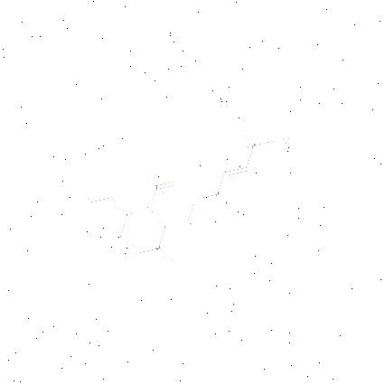 C=C(/C=C\C=C/C)[C@@H](COC(=O)/C=C/C(=O)OC)NC(=O)C(C)C